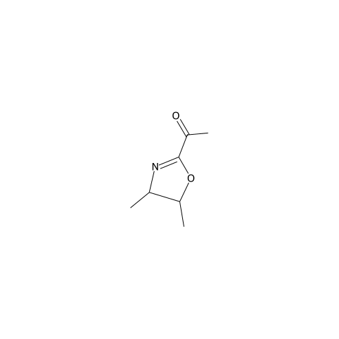 CC(=O)C1=NC(C)C(C)O1